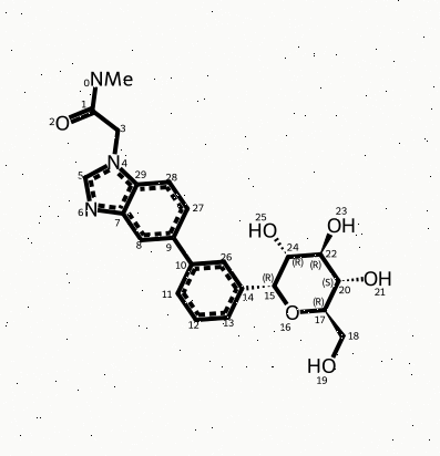 CNC(=O)Cn1cnc2cc(-c3cccc([C@H]4O[C@H](CO)[C@@H](O)[C@H](O)[C@H]4O)c3)ccc21